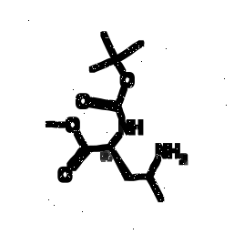 COC(=O)[C@H](CC(C)N)NC(=O)OC(C)(C)C